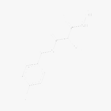 NC(C(=O)NO)C(=O)NCc1ccc(Cl)cc1